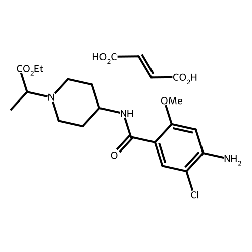 CCOC(=O)C(C)N1CCC(NC(=O)c2cc(Cl)c(N)cc2OC)CC1.O=C(O)C=CC(=O)O